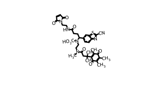 CC1=C(C)C(=O)C(C(C)(C)CC(=O)N(C)CCN(C(=O)O)C(CCC(=O)NCCN2C(=O)C=CC2=O)c2ccc3nc(C#N)sc3c2)=C(C)C1=O